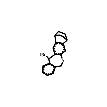 CC(C)(C)C1c2ccccc2CSc2cc3c(cc21)C1CCC3CC1